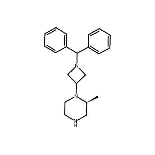 C[C@H]1CNCCN1C1CN(C(c2ccccc2)c2ccccc2)C1